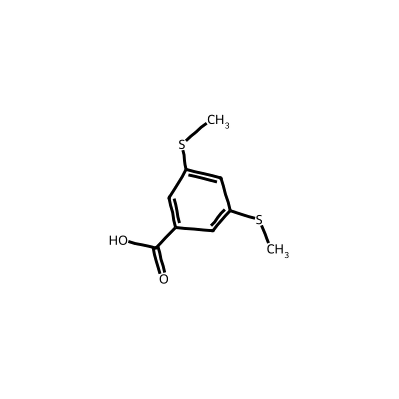 CSc1cc(SC)cc(C(=O)O)c1